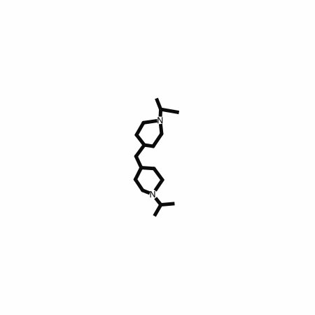 CC(C)N1CCC(CC2CCN(C(C)C)CC2)CC1